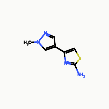 Cn1cc(-c2csc(N)n2)cn1